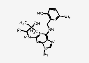 CCC(Nc1nc(NCc2cc(N)ccc2O)c2ncn(C(C)C)c2n1)C(C)(C)O